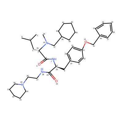 CC(C)C[C@@H](C(=O)N[C@@H](Cc1ccc(OCc2ccccc2)cc1)C(=O)NCCN1CCCCC1)N(C)CC1CCCCC1